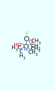 COC(C)c1c(C(C)C)nc(C(C)C)c(CO)c1-c1ccc(F)cc1